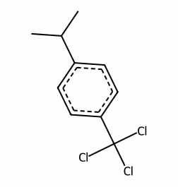 CC(C)c1ccc(C(Cl)(Cl)Cl)cc1